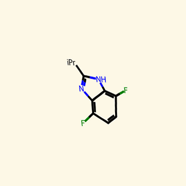 CC(C)c1nc2c(F)ccc(F)c2[nH]1